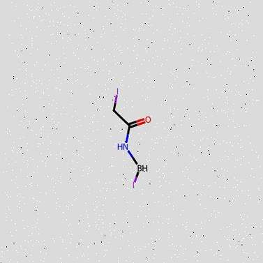 O=C(CI)NBI